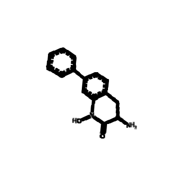 NC1Cc2ccc(-c3ccccc3)cc2N(O)C1=O